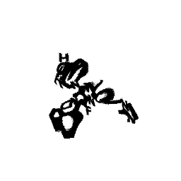 Cc1nccn1CCOc1nc(N2CC3C[C@@H](O)[C@@H](C2)N3)c2cnc(-c3cccc4cccc(Cl)c34)c(F)c2n1